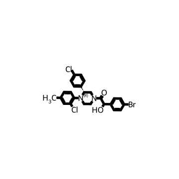 Cc1ccc(N2CCN(C(=O)C(O)c3ccc(Br)cc3)C[C@H]2c2ccc(Cl)cc2)c(Cl)c1